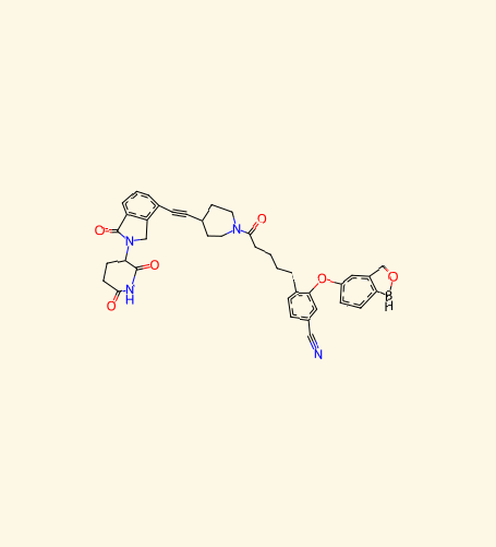 N#Cc1ccc(CCCCC(=O)N2CCC(C#Cc3cccc4c3CN(C3CCC(=O)NC3=O)C4=O)CC2)c(Oc2ccc3c(c2)COB3)c1